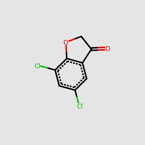 O=C1COc2c(Cl)cc(Cl)cc21